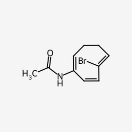 CC(=O)NC1=C/CC/C=C(Br)/C=C\1